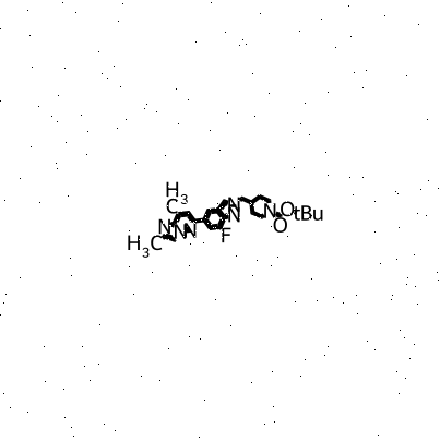 Cc1cn2nc(-c3cc(F)c4nn(CC5CCN(C(=O)OC(C)(C)C)CC5)cc4c3)cc(C)c2n1